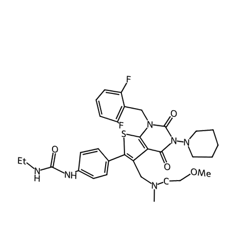 CCNC(=O)Nc1ccc(-c2sc3c(c2CN(C)CCOC)c(=O)n(N2CCCCC2)c(=O)n3Cc2c(F)cccc2F)cc1